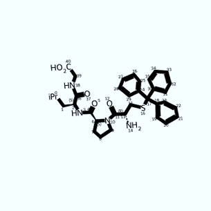 CC(C)C[C@H](NC(=O)[C@@H]1CCCN1C(=O)[C@@H](N)CSC(c1ccccc1)(c1ccccc1)c1ccccc1)C(=O)NCC(=O)O